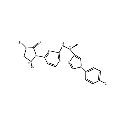 CCN1C[C@H](C(C)C)N(c2ccnc(N[C@@H](C)c3cn(-c4ccc(Cl)cc4)cn3)n2)C1=O